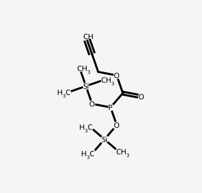 C#CCOC(=O)P(O[Si](C)(C)C)O[Si](C)(C)C